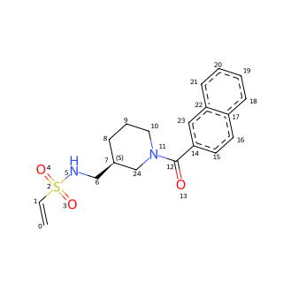 C=CS(=O)(=O)NC[C@H]1CCCN(C(=O)c2ccc3ccccc3c2)C1